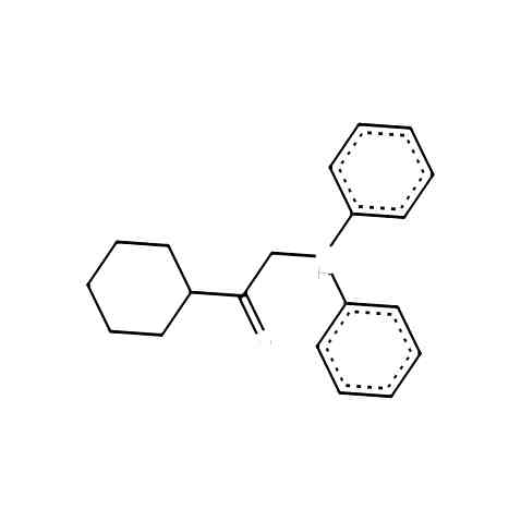 O=C(C[SH](c1ccccc1)c1ccccc1)C1CCCCC1